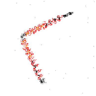 O=P([O-])([O-])[O-].O=P([O-])([O-])[O-].O=P([O-])([O-])[O-].O=P([O-])([O-])[O-].O=P([O-])([O-])[O-].O=P([O-])([O-])[O-].O=P([O-])([O-])[O-].O=P([O-])([O-])[O-].O=[Si]([O-])[O-].O=[Si]([O-])[O-].O=[Si]([O-])[O-].O=[Si]([O-])[O-].O=[Si]([O-])[O-].O=[Si]([O-])[O-].O=[Si]([O-])[O-].O=[Si]([O-])[O-].[Al+3].[Al+3].[Al+3].[Al+3].[Al+3].[Li+].[Li+].[Li+].[Li+].[Li+].[Ti+4].[Ti+4].[Ti+4].[Ti+4].[Ti+4]